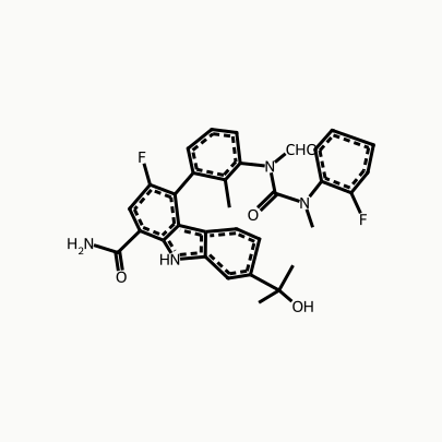 Cc1c(-c2c(F)cc(C(N)=O)c3[nH]c4cc(C(C)(C)O)ccc4c23)cccc1N(C=O)C(=O)N(C)c1ccccc1F